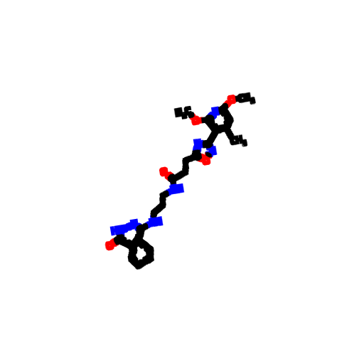 COc1cc(C)c(-c2noc(CCC(=O)NCCCNc3n[nH]c(=O)c4ccccc34)n2)c(OC)n1